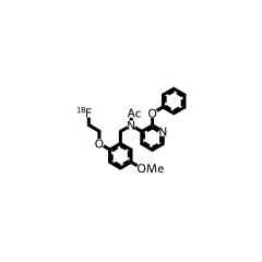 COc1ccc(OCC[18F])c(CN(C(C)=O)c2cccnc2Oc2ccccc2)c1